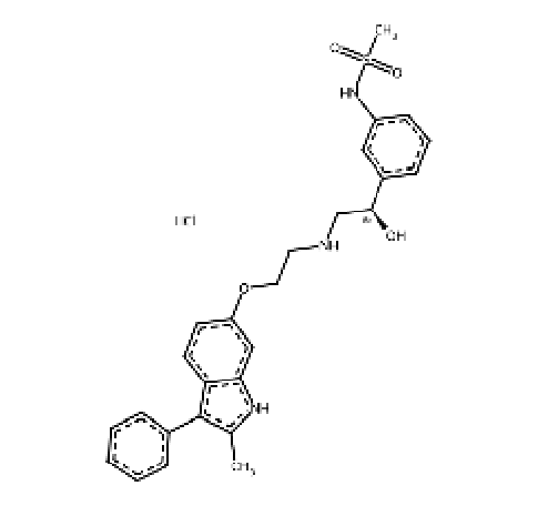 Cc1[nH]c2cc(OCCNC[C@H](O)c3cccc(NS(C)(=O)=O)c3)ccc2c1-c1ccccc1.Cl